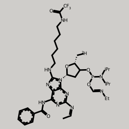 [2H]C[C@H]1O[C@@H](n2c(NCCCCCCNC(=O)C(F)(F)F)nc3c(NC(=O)c4ccccc4)nc(/N=C\C)nc32)CC1OP(O/C=N/CC)N(C(C)C)C(C)C